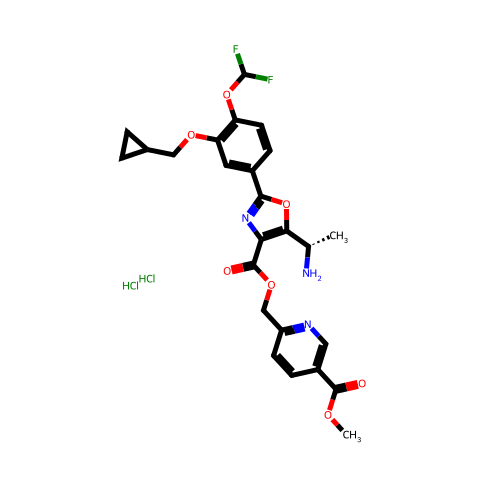 COC(=O)c1ccc(COC(=O)c2nc(-c3ccc(OC(F)F)c(OCC4CC4)c3)oc2[C@H](C)N)nc1.Cl.Cl